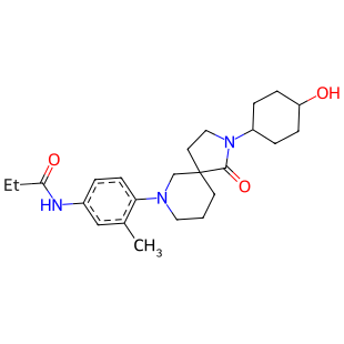 CCC(=O)Nc1ccc(N2CCCC3(CCN(C4CCC(O)CC4)C3=O)C2)c(C)c1